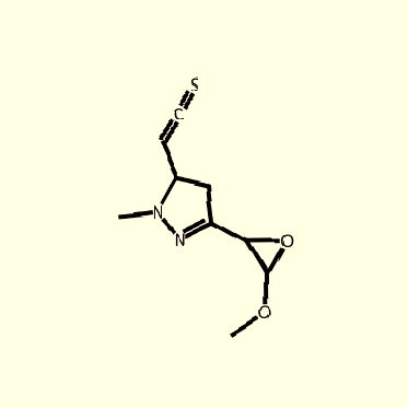 COC1OC1C1=NN(C)C(C=C=S)C1